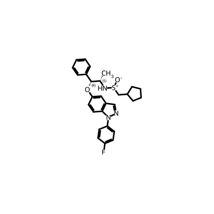 C[C@H](N[S+]([O-])CC1CCCC1)[C@H](Oc1ccc2c(cnn2-c2ccc(F)cc2)c1)c1ccccc1